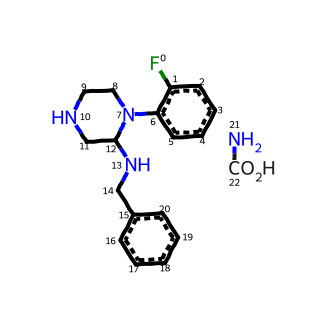 Fc1ccccc1N1CCNCC1NCc1ccccc1.NC(=O)O